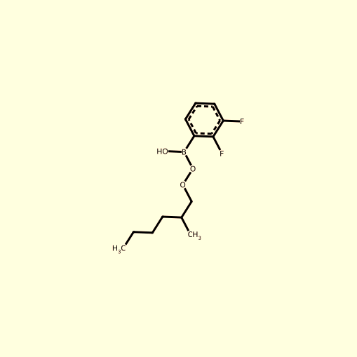 CCCCC(C)COOB(O)c1cccc(F)c1F